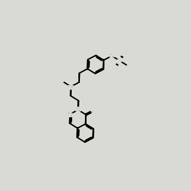 CN(CCc1ccc(NS(C)(=O)=O)cc1)CCn1ncc2ccccc2c1=O.Cl